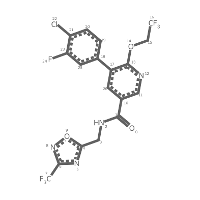 O=C(NCc1nc(C(F)(F)F)no1)c1cnc(OCC(F)(F)F)c(-c2ccc(Cl)c(F)c2)c1